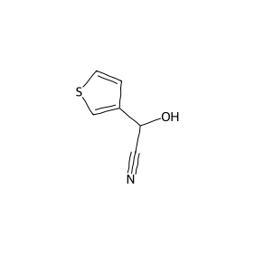 N#CC(O)c1ccsc1